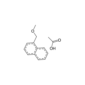 CC(=O)O.COCc1cccc2ccccc12